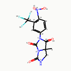 CC12CNC(=O)N1C(=O)N(c1ccc([N+](=O)[O-])c(C(F)(F)F)c1)C2=O